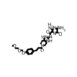 COCCOCOc1ccc(CCC(=O)N2CCC3(CC2)CN/C(=N\C(=O)c2nc(Cl)c(N)nc2N)N3)cc1